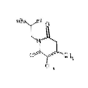 CCCCC(CC)CN1C(=O)CC(C)=C(C)C1=O